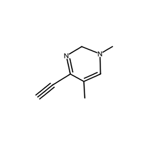 C#CC1=NCN(C)C=C1C